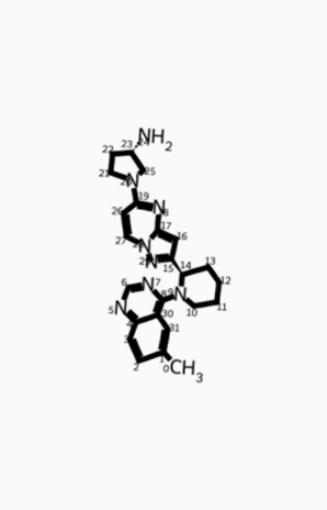 Cc1ccc2ncnc(N3CCCC[C@@H]3c3cc4nc(N5CC[C@H](N)C5)ccn4n3)c2c1